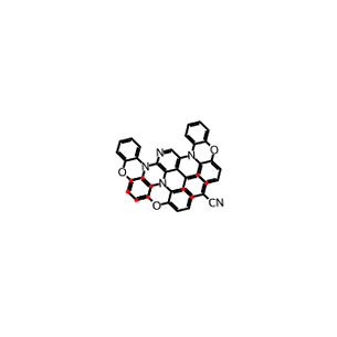 N#Cc1ccc(-c2c(N3c4ccccc4Oc4ccccc43)cnc(N3c4ccccc4Oc4ccccc43)c2N2c3ccccc3Oc3ccccc32)cc1